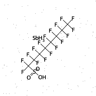 O=S(=O)(O)C(F)(F)C(F)(F)C(F)(F)C(F)(F)C(F)(F)C(F)(F)C(F)(F)C(F)(F)F.[SbH3]